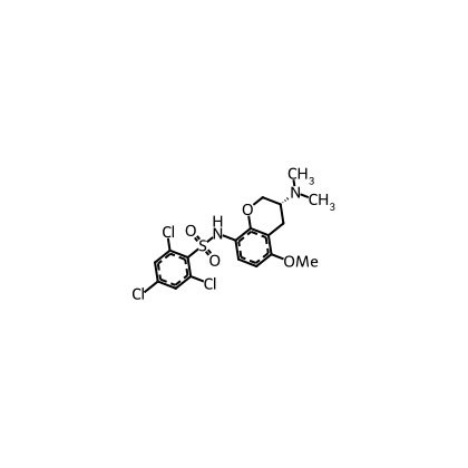 COc1ccc(NS(=O)(=O)c2c(Cl)cc(Cl)cc2Cl)c2c1C[C@@H](N(C)C)CO2